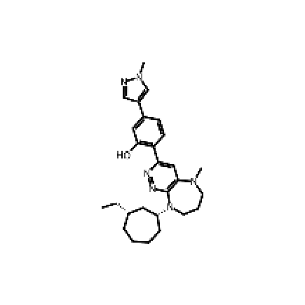 CC[C@H]1CCCC[C@@H](N2CCCN(C)c3cc(-c4ccc(-c5cnn(C)c5)cc4O)nnc32)C1